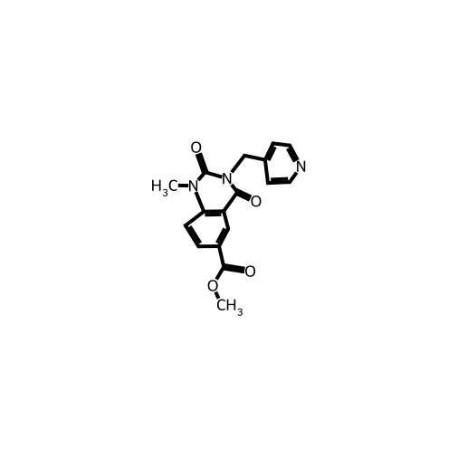 COC(=O)c1ccc2c(c1)c(=O)n(Cc1ccncc1)c(=O)n2C